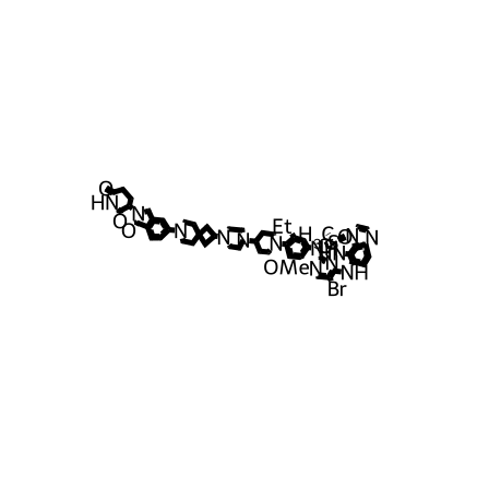 CCc1cc(Nc2ncc(Br)c(Nc3ccc4nccnc4c3NS(C)(=O)=O)n2)c(OC)cc1N1CCC(N2CCN(C3CC4(CCN(c5ccc6c(c5)CN(C5CCC(=O)NC5=O)C6=O)CC4)C3)CC2)CC1